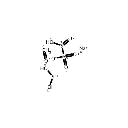 C=O.O=S(O)S(=O)(=O)[O-].OSO.[Na+]